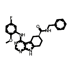 COc1ccc(F)cc1Nc1ncnc2[nH]c3c(c12)C[C@@H](C(=O)NCc1ccccc1)CC3